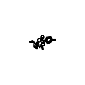 CCN1C=CN(CC)C1OS(=O)(=O)c1ccc(C)cc1